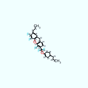 CCCc1cc2c(c(F)c1F)Oc1c(ccc(C(F)(F)OC3=CCC(CCC)CC3)c1F)C2